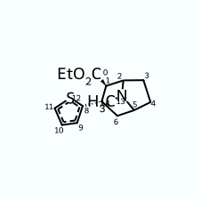 CCOC(=O)[C@H]1C2CCC(C[C@@H]1c1cccs1)N2C